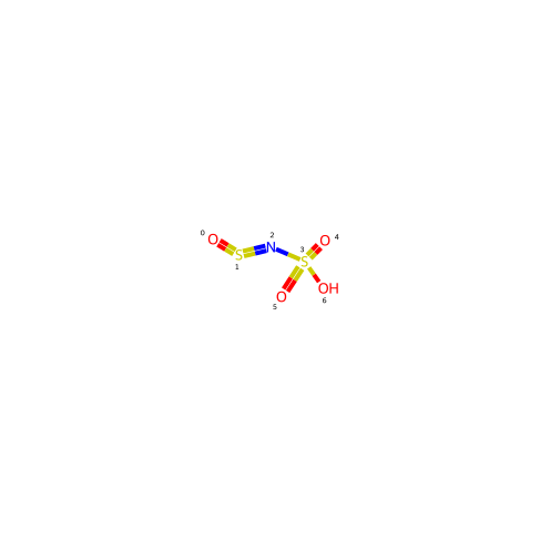 O=S=NS(=O)(=O)O